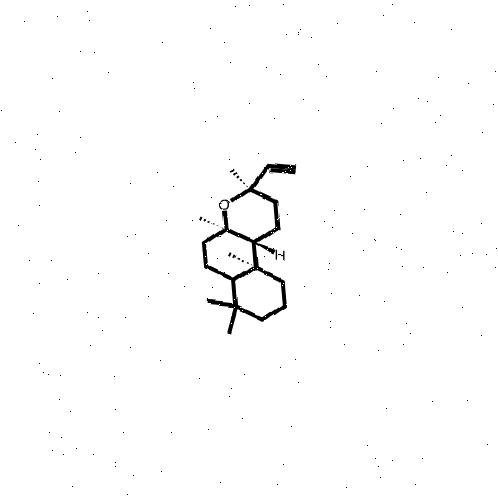 C=C[C@@]1(C)CC[C@H]2[C@@](C)(CCC3C(C)(C)CCC[C@@]32C)O1